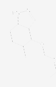 C/C=N\COC1C(C)CCC2NN=CC21